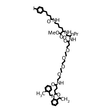 C=Cc1ccccc1N(Cc1ccccc1C)C(=O)CCC(=O)NCCOCCOCCOCCOCCC(=O)NC(CCC)C(=O)NC(CCCCNC(=O)CCCc1ccc(I)cc1)C(=O)OC